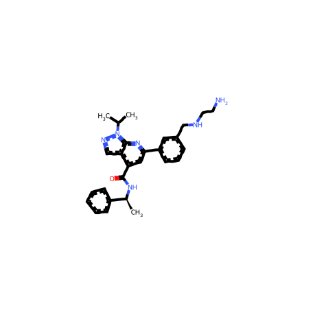 CC(C)n1ncc2c(C(=O)N[C@@H](C)c3ccccc3)cc(-c3cccc(CNCCN)c3)nc21